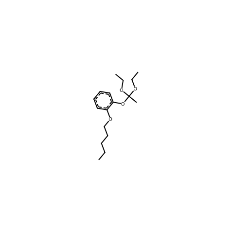 CCCCCOc1ccccc1OC(C)(OCC)OCC